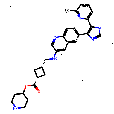 Cc1cccc(-c2[nH]cnc2-c2ccc3ncc(NC[C@H]4C[C@@H](C(=O)OC5CCNCC5)C4)cc3c2)n1